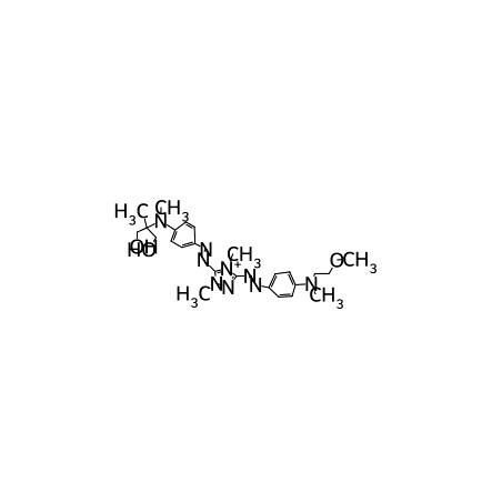 COCCN(C)c1ccc(N=Nc2nn(C)c(N=Nc3ccc(N(C)C(C)(CO)CO)cc3)[n+]2C)cc1